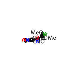 COc1cc(-c2cnc(C(C=O)(OC)c3ccc(N4CCOCC4)cc3)o2)cc(OC)c1Br